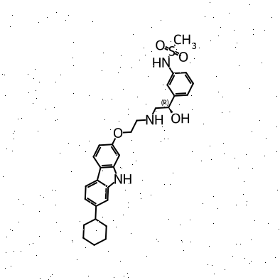 CS(=O)(=O)Nc1cccc([C@@H](O)CNCCOc2ccc3c(c2)[nH]c2cc(C4CCCCC4)ccc23)c1